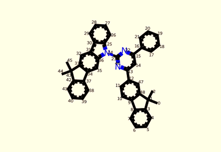 CC1(C)c2ccccc2-c2ccc(-c3cc(-c4ccccc4)nc(-n4c5ccccc5c5cc6c(cc54)-c4ccccc4C6(C)C)n3)cc21